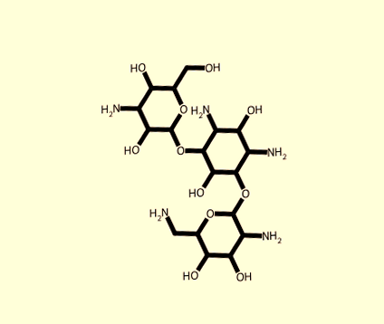 NCC1OC(OC2C(N)C(O)C(N)C(OC3OC(CO)C(O)C(N)C3O)C2O)C(N)C(O)C1O